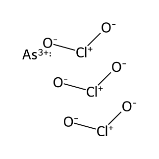 [As+3].[O-][Cl+][O-].[O-][Cl+][O-].[O-][Cl+][O-]